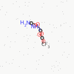 Nc1ccc(COC(=O)/C=C/c2ccc(OC(=O)c3ccc(OCC(F)(F)F)cc3)cc2)c(N)c1